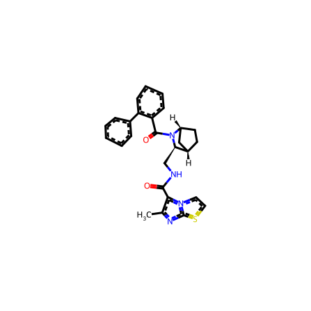 Cc1nc2sccn2c1C(=O)NC[C@@H]1[C@H]2CC[C@H](C2)N1C(=O)c1ccccc1-c1ccccc1